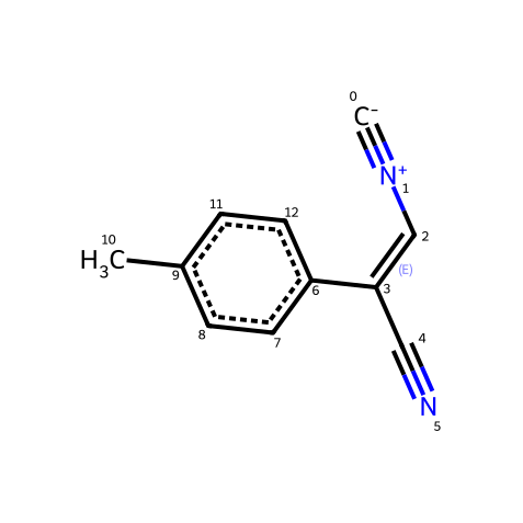 [C-]#[N+]/C=C(/C#N)c1ccc(C)cc1